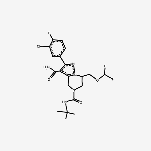 CC(C)(C)NC(=O)N1Cc2c(C(N)=O)c(-c3ccc(F)c(Cl)c3)nn2C(COC(F)F)C1